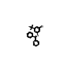 CC(C)(C)c1cc(Br)cc(N=C(c2ccccc2)c2ccccc2)c1